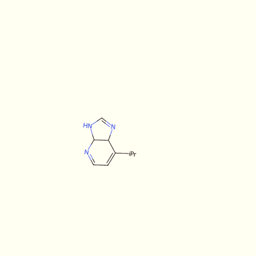 CC(C)C1=CC=NC2NC=NC12